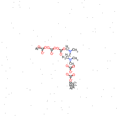 CN(C)C.CN(C)C.O=[Si]([O-])[O-].O=[Si]([O-])[O-].O=[Si]([O-])[O-].O=[Si]([O-])[O-].O=[Si]([O-])[O-].[Al+3].[Al+3].[Mg+2].[Mg+2]